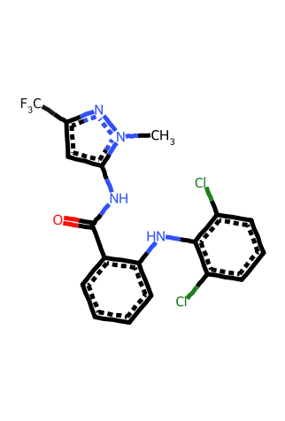 Cn1nc(C(F)(F)F)cc1NC(=O)c1ccccc1Nc1c(Cl)cccc1Cl